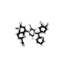 C[C@@H]1CN(c2cc(=O)n(C)c3ccc(C#N)nc23)[C@@H](C)CN1C(c1ccc(F)c(F)c1)c1ccccn1